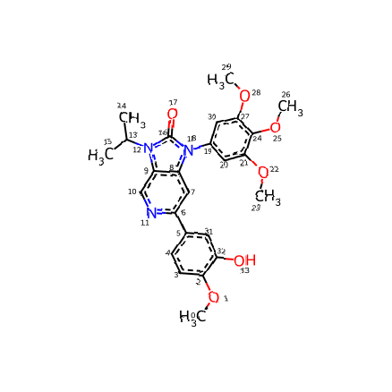 COc1ccc(-c2cc3c(cn2)n(C(C)C)c(=O)n3-c2cc(OC)c(OC)c(OC)c2)cc1O